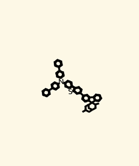 CC1CC2CC(C)C3(c4ccccc4-c4cc(-c5ccc6c(c5)sc5cc(N(c7ccc(-c8ccccc8)cc7)c7ccc(-c8ccccc8)cc7)ccc56)ccc43)C(C1)C2